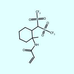 C=CC(=O)NC1(C)CCCCC1C(S(=O)(=O)C(F)(F)F)S(=O)(=O)C(F)(F)F